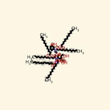 CCCCCCCCCCCCCC(=O)O[C@H](CCCCCCCCCCC)CC(=O)NC1C(OCCN(C(=O)C[C@@H](CCCCCCCCCCC)OC(=O)CCCCCCCCCCCCC)c2cccc(O)c2)OC(CO)C(OP(=O)(O)O)C1OC(=O)C[C@@H](CCCCCCCCCCC)OC(=O)CCCCCCCCCCCCC